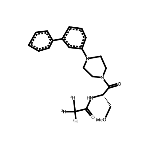 [2H]C([2H])([2H])C(=O)N[C@@H](COC)C(=O)N1CCN(c2cccc(-c3ccccc3)c2)CC1